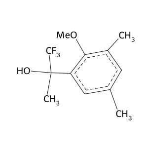 COc1c(C)cc(C)cc1C(C)(O)C(F)(F)F